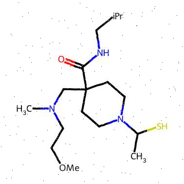 COCCN(C)CC1(C(=O)NCC(C)C)CCN(C(C)S)CC1